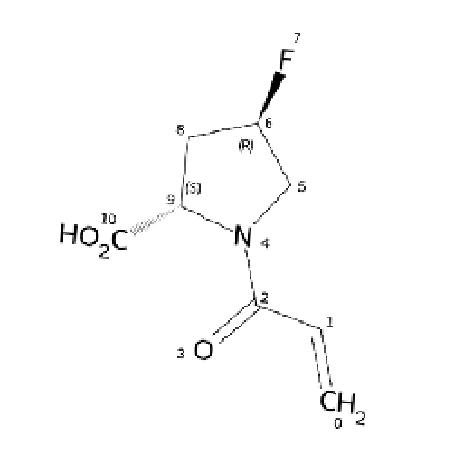 C=CC(=O)N1C[C@H](F)C[C@H]1C(=O)O